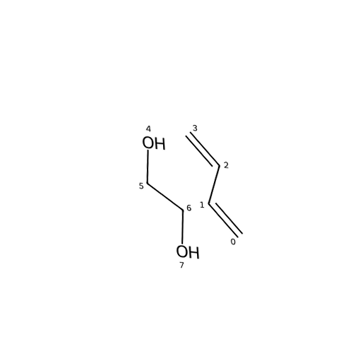 C=CC=C.OCCO